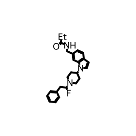 CCC(=O)NCc1ccc2ccn(C3CCN(C(F)Cc4ccccc4)CC3)c2c1